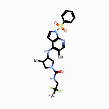 CCC1CN(C(=O)NCC(F)(F)C(F)(F)F)CC1Nc1c(C#N)cnc2c1ccn2S(=O)(=O)c1ccccc1